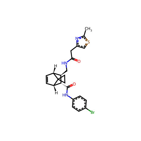 Cc1nc(CC(=O)NC[C@H]2[C@H](C(=O)Nc3ccc(Br)cc3)[C@@H]3C=C[C@H]2C32CC2)cs1